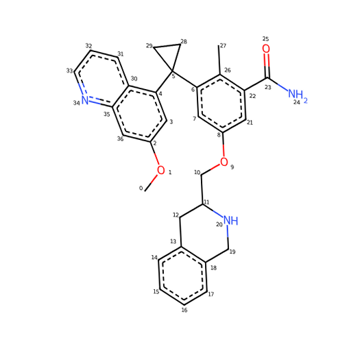 COc1cc(C2(c3cc(OCC4Cc5ccccc5CN4)cc(C(N)=O)c3C)CC2)c2cccnc2c1